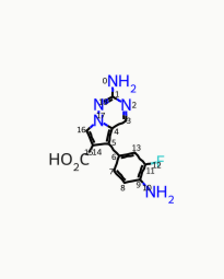 Nc1ncc2c(-c3ccc(N)c(F)c3)c(C(=O)O)cn2n1